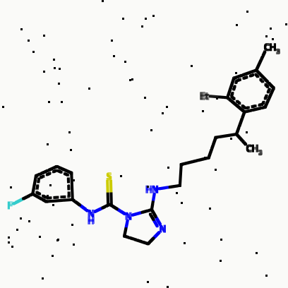 CCc1cc(C)ccc1C(C)CCCCNC1=NCCN1C(=S)Nc1cccc(F)c1